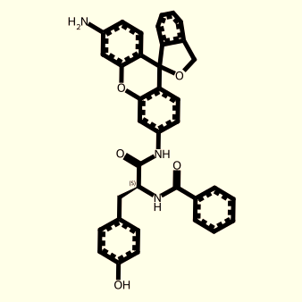 Nc1ccc2c(c1)Oc1cc(NC(=O)[C@H](Cc3ccc(O)cc3)NC(=O)c3ccccc3)ccc1C21OCc2ccccc21